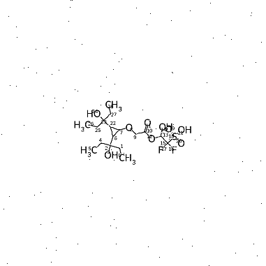 CCC(O)(CC)C1C(OCC(=O)OC(O)C(F)(F)S(=O)(=O)O)C1C(O)(CC)CC